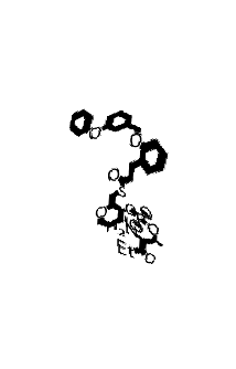 CCC(=O)[C@@H](N)[C@H](C)OP(=O)(O)O[C@H]1CCCOC1CSC(=O)CCc1ccccc1OCc1cccc(Oc2ccccc2)c1